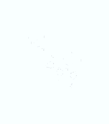 CC(C)(C)OC(=O)N1CCC(Nc2cncc(-c3cc(C4CC4)cc(N(C(=O)OC(C)(C)C)c4cc(C#N)ccn4)n3)c2)CC1